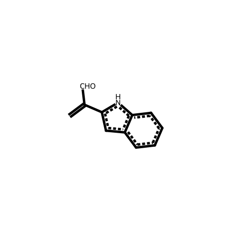 C=C(C=O)c1cc2ccccc2[nH]1